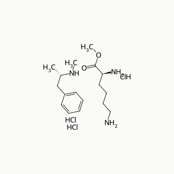 CN[C@@H](C)Cc1ccccc1.COC(=O)[C@@H](N)CCCCN.Cl.Cl.Cl